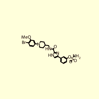 COc1cc(N2CCC(CNC(=O)c3nc(-c4cccc(OS(N)(=O)=O)c4)c[nH]3)CC2)ccc1Br